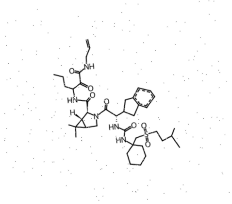 C=CCNC(=O)C(=O)C(CCC)NC(=O)[C@@H]1[C@@H]2C(CN1C(=O)[C@@H](NC(=O)NC1(CS(=O)(=O)CCC(C)C)CCCCC1)C1Cc3ccccc3C1)C2(C)C